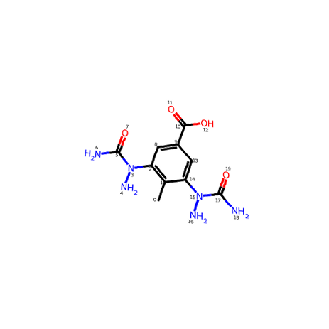 Cc1c(N(N)C(N)=O)cc(C(=O)O)cc1N(N)C(N)=O